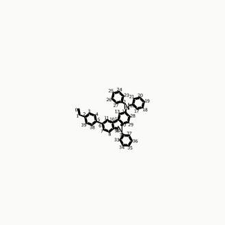 C=Cc1ccc(-c2ccc3c(c2)c2cc(N(c4ccccc4)c4ccccc4)ccc2n3-c2ccccc2)cc1